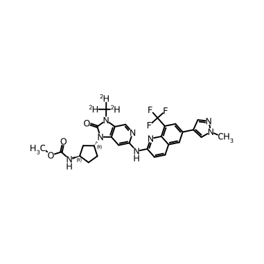 [2H]C([2H])([2H])n1c(=O)n([C@@H]2CC[C@@H](NC(=O)OC)C2)c2cc(Nc3ccc4cc(-c5cnn(C)c5)cc(C(F)(F)F)c4n3)ncc21